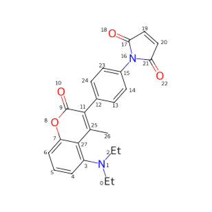 CCN(CC)c1cccc2oc(=O)c(-c3ccc(N4C(=O)C=CC4=O)cc3)c(C)c12